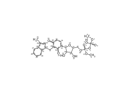 COP(=O)(O)OP(=O)(OC)OCC1OC(n2ccc(=O)n(Cc3nn(C)c4ccccc34)c2=O)C(O)C1O